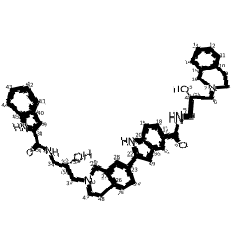 O=C(NC[C@H](O)CN1CCc2ccccc2C1)c1ccc2[nH]c(-c3ccc4c(c3)CN(C[C@@H](O)CNC(=O)c3cc5ccccc5[nH]3)CC4)cc2c1